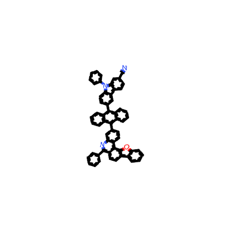 N#Cc1ccc2c3cc(-c4c5ccccc5c(-c5ccc6c(c5)nc(-c5ccccc5)c5ccc7c8ccccc8oc7c56)c5ccccc45)ccc3n(-c3ccccc3)c2c1